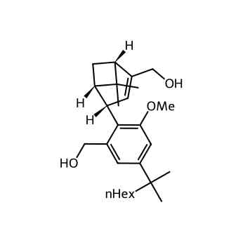 CCCCCCC(C)(C)c1cc(CO)c([C@H]2C=C(CO)[C@H]3C[C@@H]2C3(C)C)c(OC)c1